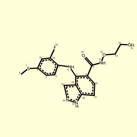 CSc1ccc(Nc2c(C(=O)NOCCO)ccc3[nH]ncc23)c(F)c1